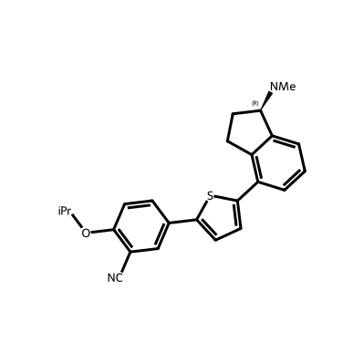 CN[C@@H]1CCc2c(-c3ccc(-c4ccc(OC(C)C)c(C#N)c4)s3)cccc21